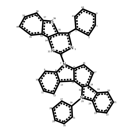 c1ccc(-c2nc(-n3c4ccccc4c4c3ccc3c5ccccc5n(-c5ccccc5)c34)nc3c2sc2ccccc23)cc1